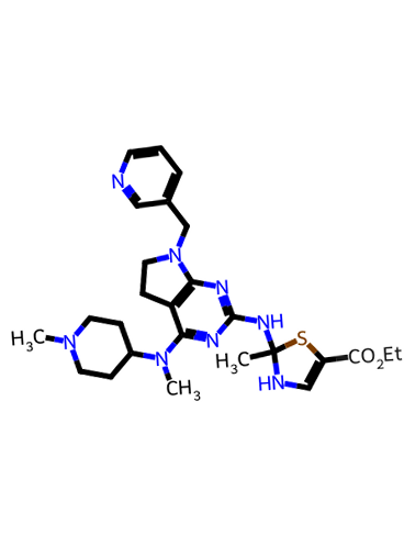 CCOC(=O)C1=CNC(C)(Nc2nc3c(c(N(C)C4CCN(C)CC4)n2)CCN3Cc2cccnc2)S1